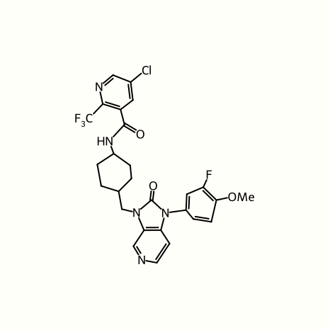 COc1ccc(-n2c(=O)n(CC3CCC(NC(=O)c4cc(Cl)cnc4C(F)(F)F)CC3)c3cnccc32)cc1F